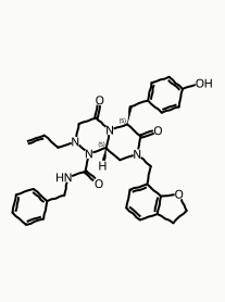 C=CCN1CC(=O)N2[C@@H](Cc3ccc(O)cc3)C(=O)N(Cc3cccc4c3OCC4)C[C@@H]2N1C(=O)NCc1ccccc1